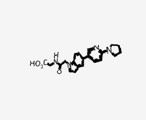 O=C(O)CNC(=O)Cn1ccc2cc(-c3ccc(N4CCCC4)nc3)ccc21